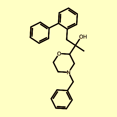 CC(O)(Cc1ccccc1-c1ccccc1)C1CN(Cc2ccccc2)CCO1